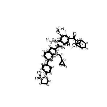 COc1cc(C(=O)N2CC3CCC2[C@@H]3C)cc2nc(-c3cc4ccc(-c5ccc(N6CCCS6(=O)=O)cc5)nc4n3CC3CC3)n(C)c12